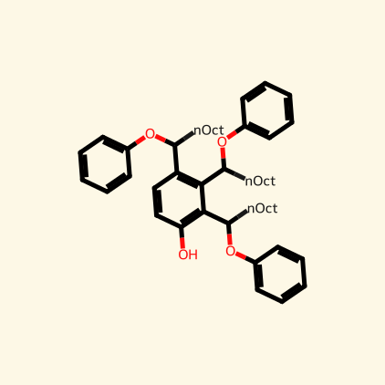 CCCCCCCCC(Oc1ccccc1)c1ccc(O)c(C(CCCCCCCC)Oc2ccccc2)c1C(CCCCCCCC)Oc1ccccc1